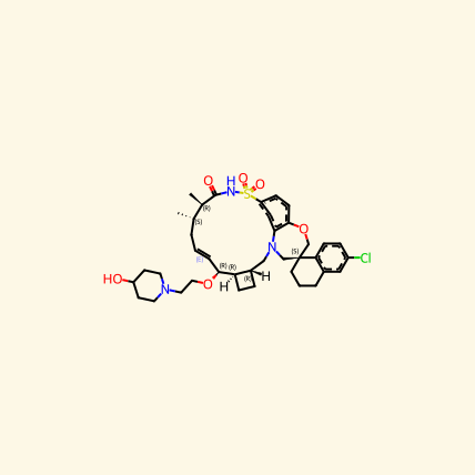 C[C@H]1C/C=C/[C@H](OCCN2CCC(O)CC2)[C@@H]2CC[C@H]2CN2C[C@@]3(CCCc4cc(Cl)ccc43)COc3ccc(cc32)S(=O)(=O)NC(=O)[C@@H]1C